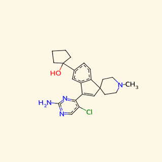 CN1CCC2(C=C(c3nc(N)ncc3Cl)c3cc(C4(O)CCCC4)ccc32)CC1